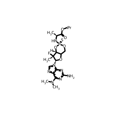 CC(C)OC(=O)[C@H](C)NP1(=S)OCC2O[C@@H](n3cnc4c(N(C)C)nc(N)nc43)[C@](C)(F)[C@@H]2O1